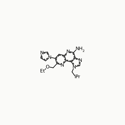 CCOCc1nc2c(cc1-n1ccnc1)nc(N)c1ncn(CC(C)C)c12